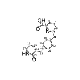 O=C(O)c1cccc(Cc2ccc(Cc3ccc[nH]c3=O)cc2)n1